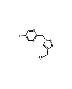 NCc1cnn(Cc2ncc(F)cn2)c1